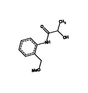 COCc1ccccc1NC(=O)C(C)O